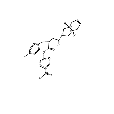 Cc1ccc(CC(CC(=O)N2C[C@H]3CC=CC[C@H]3C2)C(=O)Oc2ccc([N+](=O)[O-])cc2)cc1